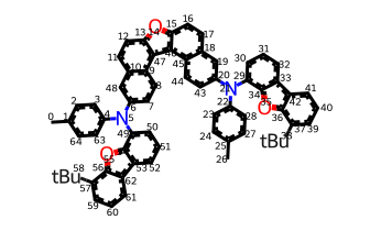 Cc1ccc(N(c2ccc3c(ccc4oc5ccc6cc(N(c7ccc(C)cc7)c7cccc8c7oc7c(C(C)(C)C)cccc78)ccc6c5c43)c2)c2cccc3c2oc2c(C(C)(C)C)cccc23)cc1